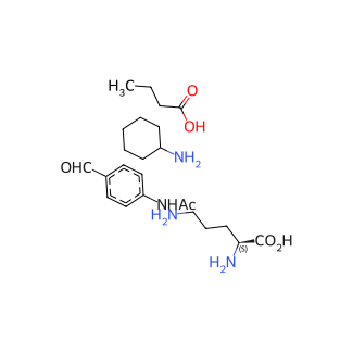 CC(=O)Nc1ccc(C=O)cc1.CCCC(=O)O.NC1CCCCC1.NCCC[C@H](N)C(=O)O